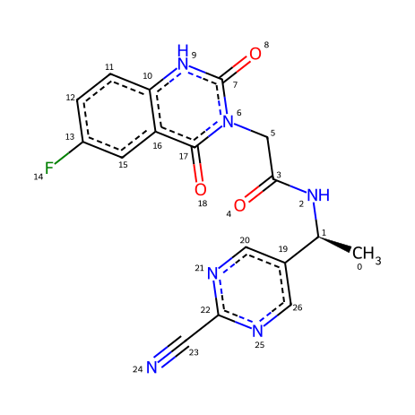 C[C@H](NC(=O)Cn1c(=O)[nH]c2ccc(F)cc2c1=O)c1cnc(C#N)nc1